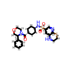 O=C([C@H]1CC[C@H](NS(=O)(=O)c2cnc3c(c2)NCCS3)CC1)N1CCOCC1c1ccccc1